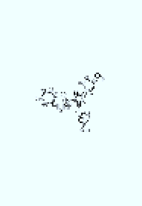 COc1ccc(-c2cn(CC(=O)OC(C)(C)C)c(C(N)Cc3ccccc3)n2)cc1